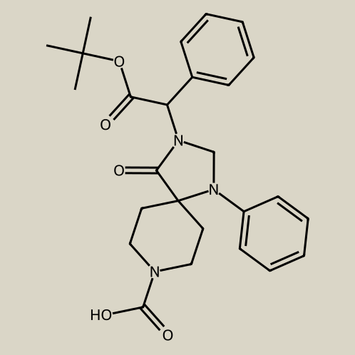 CC(C)(C)OC(=O)C(c1ccccc1)N1CN(c2ccccc2)C2(CCN(C(=O)O)CC2)C1=O